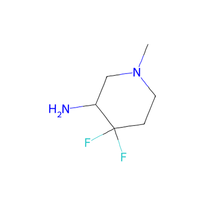 CN1CCC(F)(F)C(N)C1